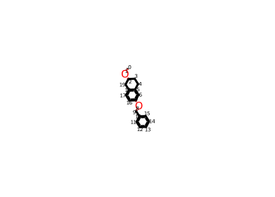 COC1CCc2cc(OCc3ccccc3)ccc2C1